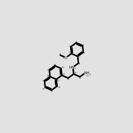 COc1ccccc1CNC(CN)Cc1cccc2ccccc12